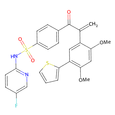 C=C(C(=O)c1ccc(S(=O)(=O)Nc2ccc(F)cn2)cc1)c1cc(-c2cccs2)c(OC)cc1OC